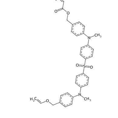 C=COCc1ccc(N(C)c2ccc(S(=O)(=O)c3ccc(N(C)c4ccc(COC(=O)C=C)cc4)cc3)cc2)cc1